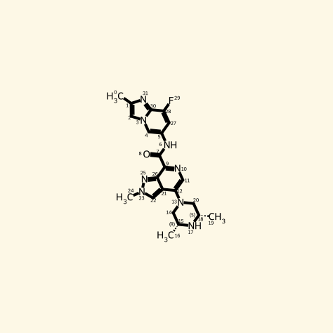 Cc1cn2cc(NC(=O)c3ncc(N4C[C@@H](C)N[C@@H](C)C4)c4cn(C)nc34)cc(F)c2n1